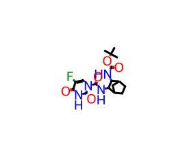 CC(C)(C)OC(=O)NC1C2CCC(C2)C1NC(=O)n1cc(F)c(=O)[nH]c1=O